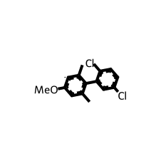 COc1[c]c(C)c(-c2cc(Cl)ccc2Cl)c(C)c1